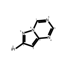 CC(C)c1cc2ncncn2n1